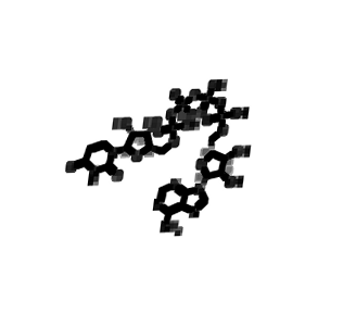 Nc1ncnc2c1ncn2[C@@H]1O[C@H](COP(=O)(O)OP(=O)(O)OP(=O)(O)OP(=O)(O)OC[C@H]2O[C@@H](n3ccc(=O)[nH]c3=O)[C@H](O)[C@@H]2O)[C@@H](O)[C@H]1O